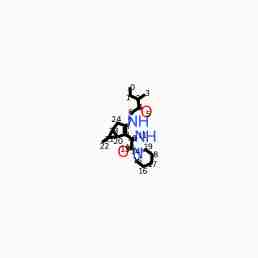 CCC(C)C(=O)CNC1=C(C(=N)C(=O)N2CCCCC2)C2C(C)C2C1